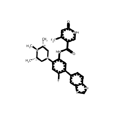 C[C@@H]1CN(c2cc(F)c(-c3ccc4ncsc4c3)cc2NC(=O)c2c[nH]c(=O)cc2C(F)(F)F)C[C@H](C)N1C